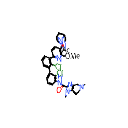 COc1nc(-c2cccc(-c3cccc(NC(=O)c4nc5c(n4C)CCN(C)C5)c3Cl)c2Cl)ccc1CN1C2CC1CN(C(C)=O)C2